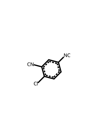 [C-]#[N+]c1ccc(Cl)c([N+]#[C-])c1